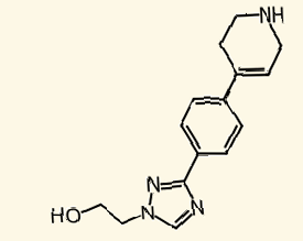 OCCn1cnc(-c2ccc(C3=CCNCC3)cc2)n1